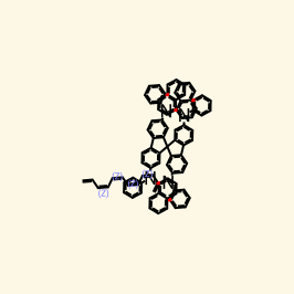 C=C\C=C/C=C\C=C/C=C\C(=C)N(c1ccccc1)c1ccc2c(c1)C1(c3cc(N(c4ccccc4)c4cccc5ccccc45)ccc3-2)c2cc(N(c3ccccc3)c3cccc4ccccc34)ccc2-c2ccc(N(c3ccccc3)c3cccc4ccccc34)cc21